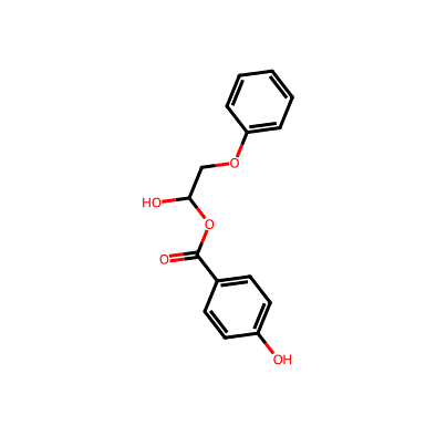 O=C(OC(O)COc1ccccc1)c1ccc(O)cc1